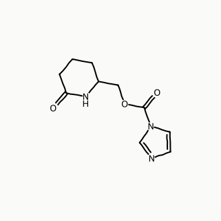 O=C1CCCC(COC(=O)n2ccnc2)N1